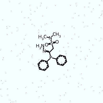 CN(C)S(=O)(=O)CC(=NN)P(c1ccccc1)c1ccccc1